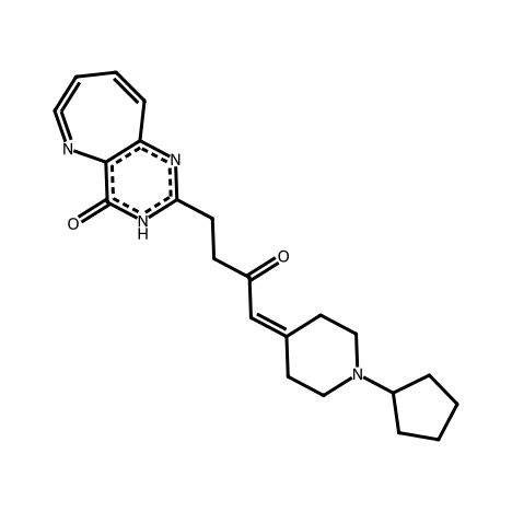 O=C(C=C1CCN(C2CCCC2)CC1)CCc1nc2c(c(=O)[nH]1)N=C=CC=C2